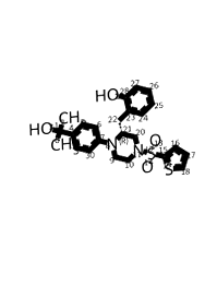 CC(C)(O)c1ccc(N2CCN(S(=O)(=O)c3cccs3)C[C@H]2Cc2ccccc2O)cc1